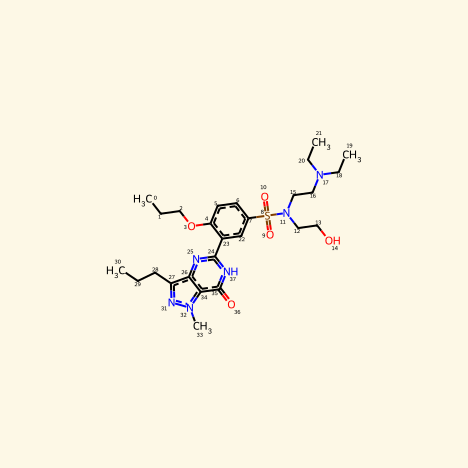 CCCOc1ccc(S(=O)(=O)N(CCO)CCN(CC)CC)cc1-c1nc2c(CCC)nn(C)c2c(=O)[nH]1